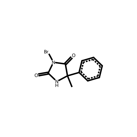 CC1(c2ccccc2)NC(=O)N(Br)C1=O